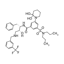 CCCN(CCC)S(=O)(=O)c1cc(C(=O)N[C@@H](Cc2ccccc2)[C@H](O)CNCc2cccc(C(F)(F)F)c2)cc(N2CCCCS2(O)O)c1